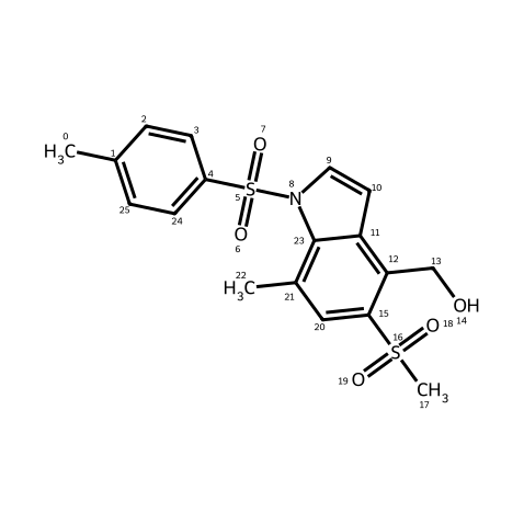 Cc1ccc(S(=O)(=O)n2ccc3c(CO)c(S(C)(=O)=O)cc(C)c32)cc1